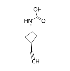 C#C[C@H]1C[C@H](NC(=O)O)C1